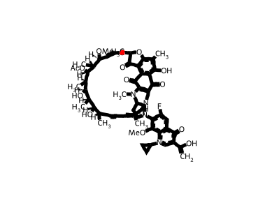 C=C(O)c1cn(C2CC2)c2c(OC)c(N3CCC(N(C)C4=C5NC(=O)/C(C)=C\C=C\[C@H](C)[C@H](O)[C@@H](C)[C@@H](O)[C@@H](C)[C@H](OC(C)=O)[C@H](C)[C@@H](OC)/C=C/O[C@@]6(C)Oc7c(C)c(O)c(c(c7C6=O)C4=O)C5=O)C3)c(F)cc2c1=O